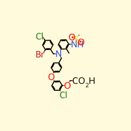 Cc1c(NS(C)(=O)=O)cccc1N(Cc1ccc(Oc2ccc(Cl)c(OCC(=O)O)c2)cc1)Cc1ccc(Cl)cc1Br